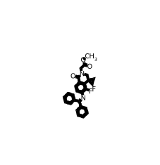 COC(=O)CN1CC2(C[C@@H]2F)c2c(ccc(N=C(c3ccccc3)c3ccccc3)c2F)C1=O